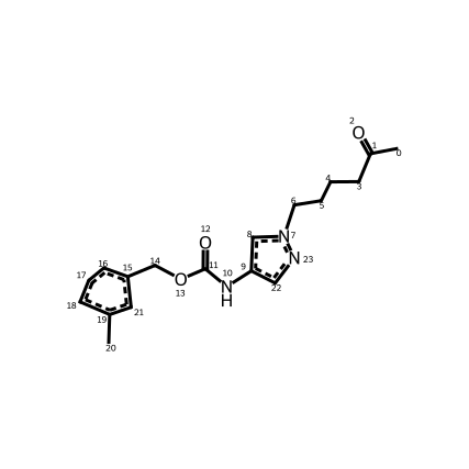 CC(=O)CCCCn1cc(NC(=O)OCc2cccc(C)c2)cn1